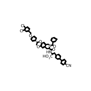 N#Cc1ccc(-c2ccc(C[C@H](NC(=O)C3Cc4cc5c(cc4CN3C(=O)c3ccccc3)O[C@@H](c3ccc(OCc4ccc(Cl)c(Cl)c4)cc3)CO5)C(=O)O)cc2)cc1